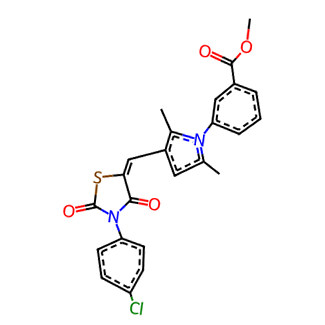 COC(=O)c1cccc(-n2c(C)cc(C=C3SC(=O)N(c4ccc(Cl)cc4)C3=O)c2C)c1